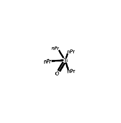 CC[CH2][Ti](=[O])([CH2]CC)([CH2]CC)[CH2]CC